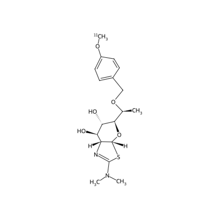 C[C@H](OCc1ccc(O[11CH3])cc1)[C@H]1O[C@@H]2SC(N(C)C)=N[C@@H]2[C@@H](O)[C@@H]1O